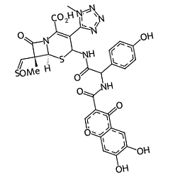 CO[C@@]1(C=S)C(=O)N2C(C(=O)O)=C(c3nnnn3C)C(NC(=O)C(NC(=O)c3coc4cc(O)c(O)cc4c3=O)c3ccc(O)cc3)S[C@H]21